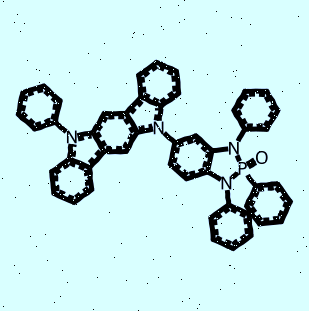 O=P1(c2ccccc2)N(c2ccccc2)c2ccc(-n3c4ccccc4c4cc5c(cc43)c3ccccc3n5-c3ccccc3)cc2N1c1ccccc1